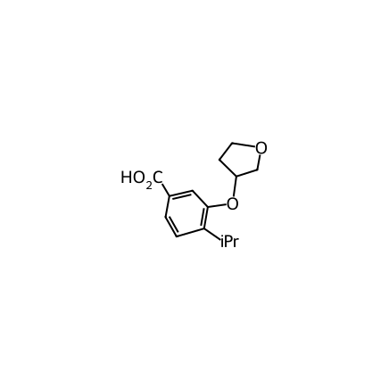 CC(C)c1ccc(C(=O)O)cc1OC1CCOC1